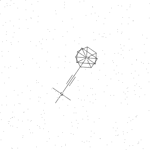 C[Si](C)(C)C#C[C]12[CH]3[CH]4[CH]5[CH]1[Fe]45321678[CH]2[CH]1[CH]6[CH]7[CH]28